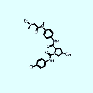 CCN(C)CC(=O)N(C)c1ccc(NC(=O)[C@H]2C[C@@H](O)CN2C(=O)Nc2ccc(Cl)cc2)cc1